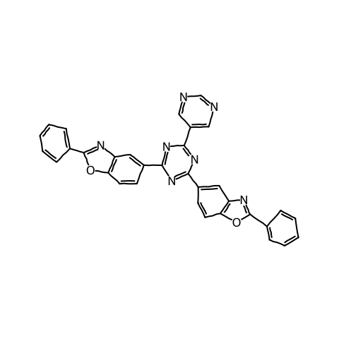 c1ccc(-c2nc3cc(-c4nc(-c5cncnc5)nc(-c5ccc6oc(-c7ccccc7)nc6c5)n4)ccc3o2)cc1